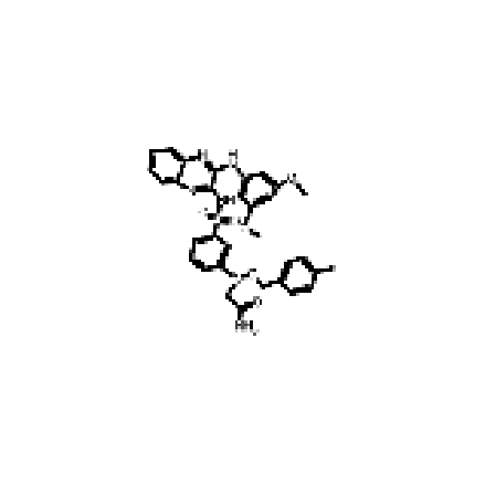 COc1cc(Nc2nc3ccccc3nc2NS(=O)(=O)c2cccc(N(CC(N)=O)OCc3ccc(C)cc3)c2)cc(OC)c1